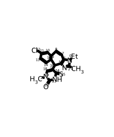 CCn1c(C)nc2c1C=Cc1cc(Cl)ccc1C2c1cn(C)c(=O)[nH]c1=S